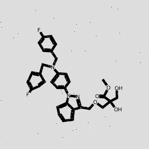 COC(=O)C(O)(CO)COCc1nn(-c2ccc(N(Cc3ccc(F)cc3)Cc3ccc(F)cc3)cc2)c2ccccc12